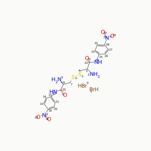 Br.Br.NC(CSSC[C@H](N)C(=O)Nc1ccc([N+](=O)[O-])cc1)C(=O)Nc1ccc([N+](=O)[O-])cc1